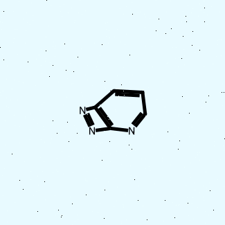 [c]1ccnc2c1N=N2